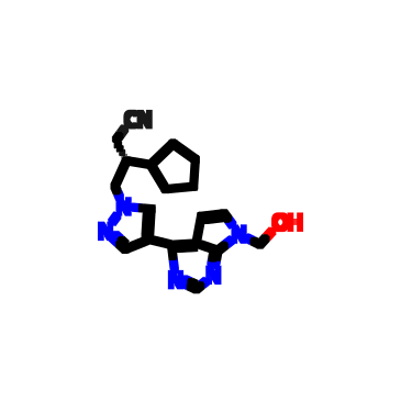 N#CC[C@@H](Cn1cc(-c2ncnc3c2ccn3CO)cn1)C1CCCC1